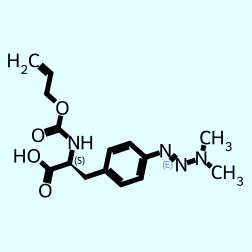 C=CCOC(=O)N[C@@H](Cc1ccc(/N=N/N(C)C)cc1)C(=O)O